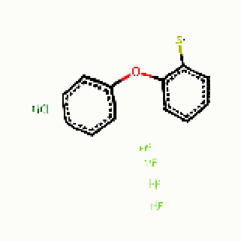 Cl.F.F.F.F.[S]c1ccccc1Oc1ccccc1